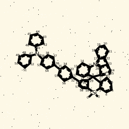 C[Si]1(C)c2ccccc2C2(c3ccccc3-n3c4ccccc4c4cccc2c43)c2cc(-c3ccc(-c4ccc(N(c5ccccc5)c5ccccc5)cc4)cc3)ccc21